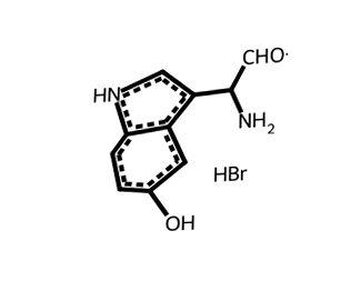 Br.NC([C]=O)c1c[nH]c2ccc(O)cc12